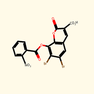 O=C(Oc1c(Br)c(Br)cc2cc(C(=O)O)c(=O)oc12)c1ccccc1[N+](=O)[O-]